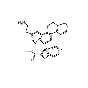 COC(=O)c1cc2ccccn2c1.Cl.NCCc1ccc2ccc3c(c2c1)CCC1=C3C=CCC1